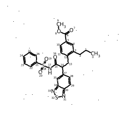 CCCc1cc(C(=O)OC)ccc1CC(C(=O)NS(=O)(=O)c1ccccc1)c1ccc2nsnc2c1